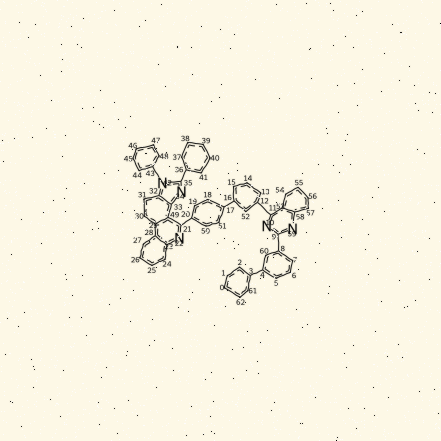 c1ccc(-c2cccc(-c3nc(-c4cccc(-c5ccc(-c6nc7ccccc7c7ccc8c(nc(-c9ccccc9)n8-c8ccccc8)c67)cc5)c4)c4ccccc4n3)c2)cc1